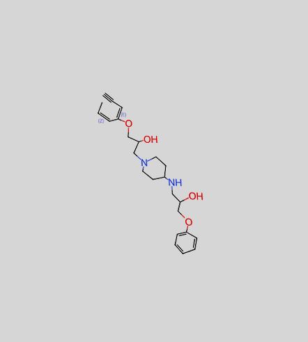 C#C/C=C(\C=C/C)OCC(O)CN1CCC(NCC(O)COc2ccccc2)CC1